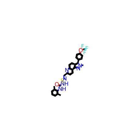 Cc1cccc(C)c1NC(=O)NS/N=C/c1ccc2c(ccc3c(-c4ccc(OC(F)(F)F)cc4)n(C)nc32)n1